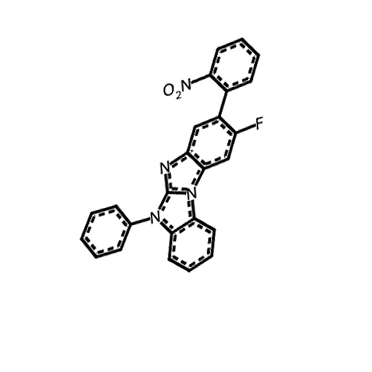 O=[N+]([O-])c1ccccc1-c1cc2nc3n(-c4ccccc4)c4ccccc4n3c2cc1F